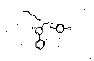 CCCCCC[C@H](NCc1ccc(Cl)cc1)c1nc(-c2ccccc2)c[nH]1